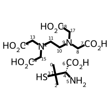 CC(C)(S)[C@@H](N)C(=O)O.O=C(O)CN(CCN(CC(=O)O)CC(=O)O)CC(=O)O